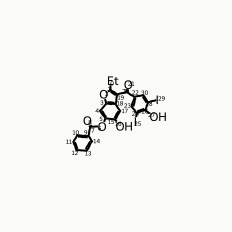 CCc1oc2cc(OC(=O)c3ccccc3)c(O)cc2c1C(=O)c1cc(I)c(O)c(I)c1